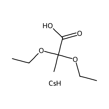 CCOC(C)(OCC)C(=O)O.[CsH]